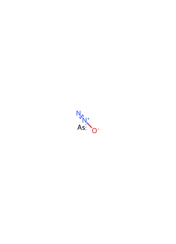 N#[N+][O-].[As]